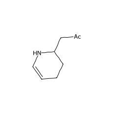 CC(=O)CC1CCC=CN1